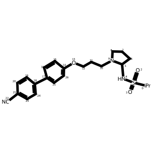 CC(C)S(=O)(=O)NC1CCCN1CCCOc1ccc(-c2ccc(C#N)cc2)cc1